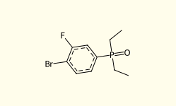 CCP(=O)(CC)c1ccc(Br)c(F)c1